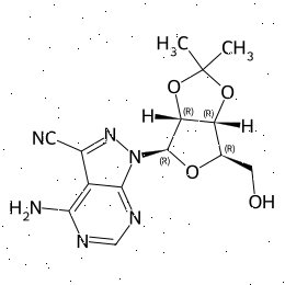 CC1(C)O[C@@H]2[C@H](O1)[C@@H](CO)O[C@H]2n1nc(C#N)c2c(N)ncnc21